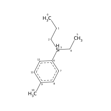 CCC[SiH](CC)c1ccc(C)cc1